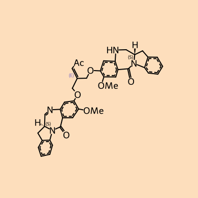 COc1cc2c(cc1OC/C(=C/C(C)=O)COc1cc3c(cc1OC)C(=O)N1c4ccccc4C[C@H]1CN3)N=C[C@@H]1Cc3ccccc3N1C2=O